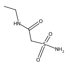 CCNC(=O)CS(N)(=O)=O